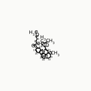 CC[C@@]12C=C(c3nc(C)c(C)o3)n3c4c(c5ccc([S+]([O-])NCCCOC)cc53)CCN(CCC1)[C@H]42